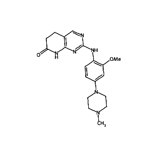 COc1cc(N2CCN(C)CC2)ccc1Nc1ncc2c(n1)NC(=O)CC2